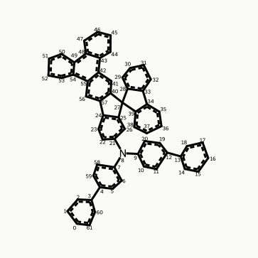 c1ccc(-c2ccc(N(c3ccc(-c4ccccc4)cc3)c3ccc4c(c3)C3(c5ccccc5-c5ccccc53)c3cc5c6ccccc6c6ccccc6c5cc3-4)cc2)cc1